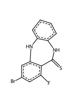 Fc1cc(Br)cc2c1C(=S)Nc1ccccc1N2